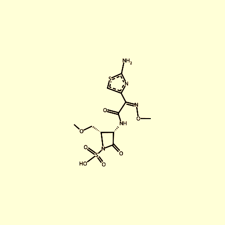 COC[C@@H]1[C@H](NC(=O)/C(=N\OC)c2csc(N)n2)C(=O)N1S(=O)(=O)O